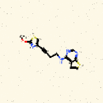 COc1nc(C#CCCNc2ncnc3sccc23)cs1